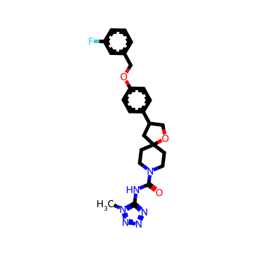 Cn1nnnc1NC(=O)N1CCC2(CC1)CC(c1ccc(OCc3cccc(F)c3)cc1)CO2